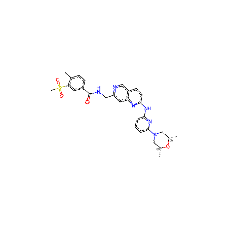 Cc1ccc(C(=O)NCc2cc3nc(Nc4cccc(N5C[C@@H](C)O[C@@H](C)C5)n4)ccc3cn2)cc1S(C)(=O)=O